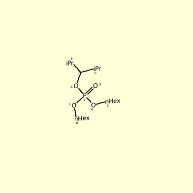 CCCCCCOP(=O)(OCCCCCC)OC(C(C)C)C(C)C